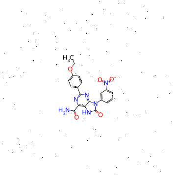 CCOc1ccc(-c2nc(C(N)=O)c3[nH]c(=O)n(-c4cccc([N+](=O)[O-])c4)c3n2)cc1